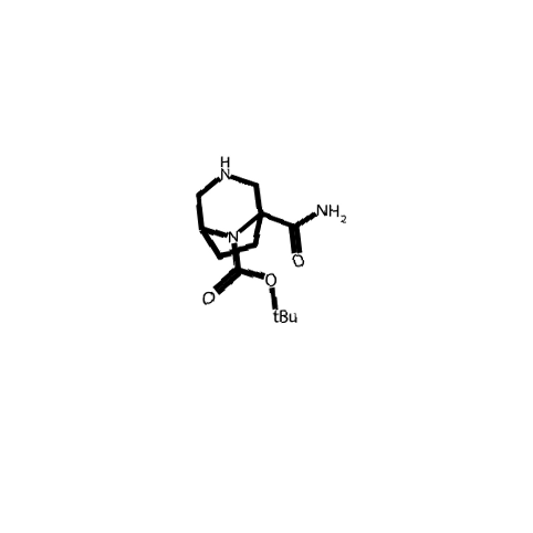 CC(C)(C)OC(=O)N1C2CCC1(C(N)=O)CNC2